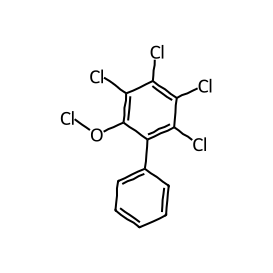 ClOc1c(Cl)c(Cl)c(Cl)c(Cl)c1-c1ccccc1